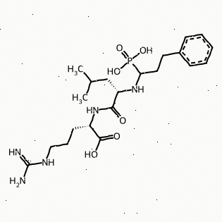 CC(C)C[C@H](NC(CCc1ccccc1)P(=O)(O)O)C(=O)N[C@@H](CCCNC(=N)N)C(=O)O